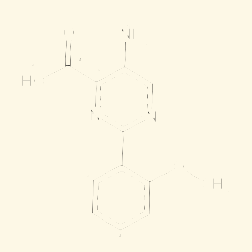 COc1ccccc1-c1ncc(N)c(C(=O)O)n1